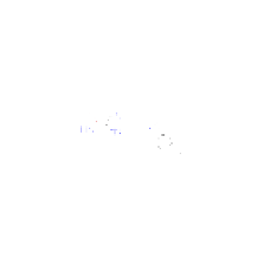 C[C@@H]1Cc2ccc(SN3CCN(c4ncc5c(n4)CCNC5=O)CC3)cc2O1